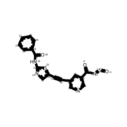 O=S=NC(=O)c1cncc(C#Cc2cnc(NC(=O)c3ccccc3)s2)c1